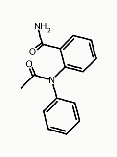 CC(=O)N(c1ccccc1)c1ccccc1C(N)=O